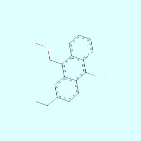 CCc1ccc2c(O)c3ccccc3c(COC)c2c1